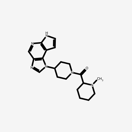 CN1CCCCC1C(=O)N1CCC(n2cnc3cnc4[nH]ccc4c32)CC1